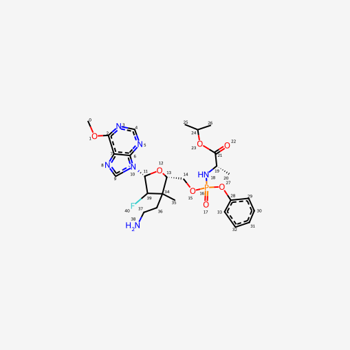 COc1ncnc2c1ncn2[C@@H]1O[C@H](COP(=O)(N[C@@H](C)C(=O)OC(C)C)Oc2ccccc2)C(C)(CCN)C1F